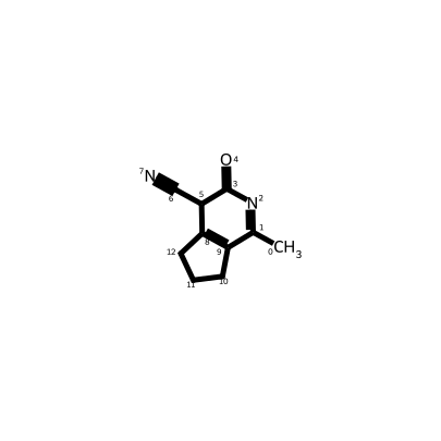 CC1=NC(=O)C(C#N)C2=C1CCC2